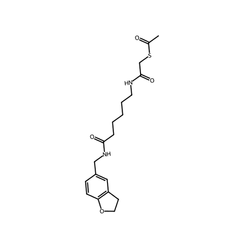 CC(=O)SCC(=O)NCCCCCC(=O)NCc1ccc2c(c1)CCO2